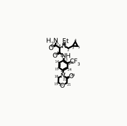 CCN(CC1CC1)[C@H](C(N)=O)C(=O)Nc1ccc(N2CCOCC2=O)cc1C(F)(F)F